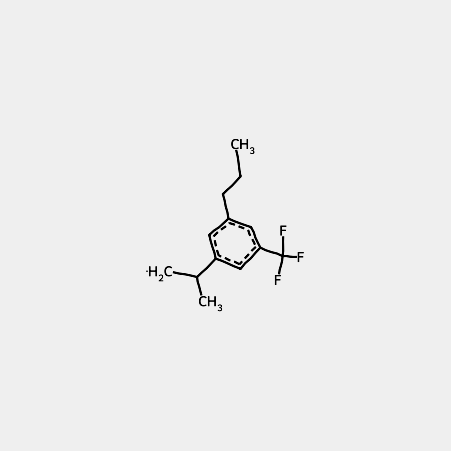 [CH2]C(C)c1cc(CCC)cc(C(F)(F)F)c1